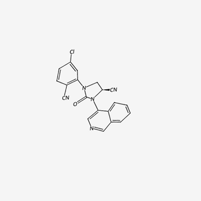 N#Cc1ccc(Cl)cc1N1C[C@@H](C#N)N(c2cncc3ccccc23)C1=O